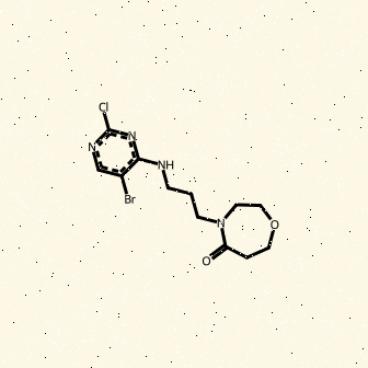 O=C1CCOCCN1CCCNc1nc(Cl)ncc1Br